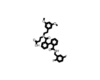 COc1cc(CCN(CCC(=O)O)C(=O)c2ccccc2-c2ccccc2C(=O)NCc2cc(F)ccc2F)cc(OC)c1